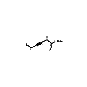 COC(=O)NC#CCI